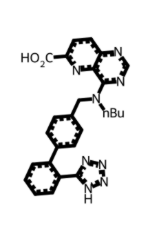 CCCCN(Cc1ccc(-c2ccccc2-c2nnn[nH]2)cc1)c1ncnc2ccc(C(=O)O)nc12